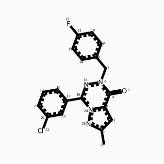 Cc1cc2c(=O)n(Cc3ccc(F)cc3)nc(-c3cccc(Cl)c3)n2n1